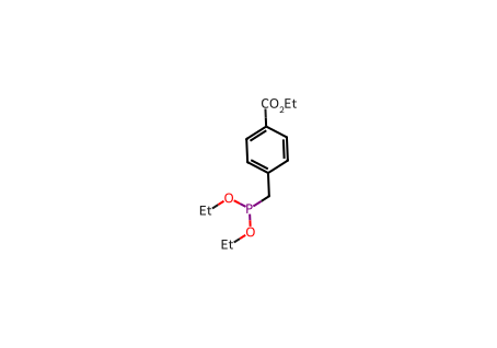 CCOC(=O)c1ccc(CP(OCC)OCC)cc1